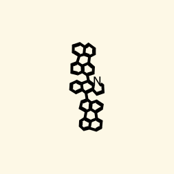 c1ccc2c(-c3ccc4c5cccc6cccc(c7cccc3c74)c65)c3ncccc3c(-c3ccc4c5cccc6cccc(c7cccc3c74)c65)c2c1